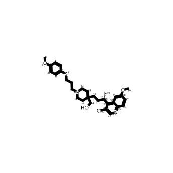 COc1ccc(SCCCN2CCC(CO)(CC[C@H](F)c3c(Cl)cnc4ccc(OC)cc34)CC2)cc1